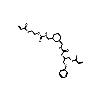 C=CC(=O)OCCOC(=O)NCC1CCCC(CNC(=O)OC(COC(=O)C=C)COc2ccccc2)C1